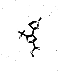 COC(=O)c1cc(-c2ccn(C)n2)c(C(F)(F)F)s1